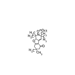 CCCCCCCCON1C(C)(C)C=C2C3=C(CC(C)(C)CC3=O)OC2C1(C)C